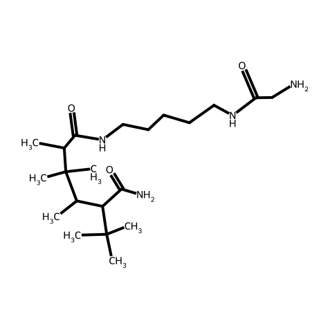 CC(C(=O)NCCCCCNC(=O)CN)C(C)(C)C(C)C(C(N)=O)C(C)(C)C